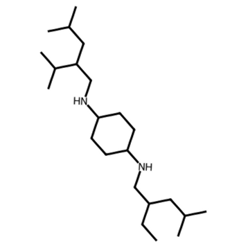 CCC(CNC1CCC(NCC(CC(C)C)C(C)C)CC1)CC(C)C